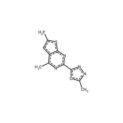 Cc1nnc(-c2nc(C)c3cc(P)sc3n2)o1